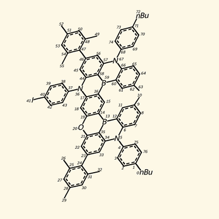 CCCCc1ccc(N2c3ccc(C)cc3B3c4cc5c(cc4Oc4cc(-c6c(C)cc(C)cc6C)cc2c43)N(c2ccc(I)cc2)c2cc(-c3c(C)cc(C)cc3C)cc3c2B5c2cc(C)ccc2N3c2ccc(CCCC)cc2)cc1